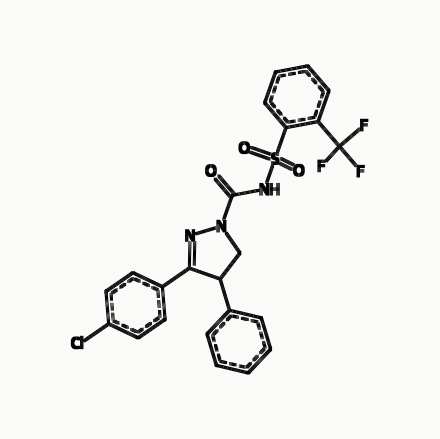 O=C(NS(=O)(=O)c1ccccc1C(F)(F)F)N1CC(c2ccccc2)C(c2ccc(Cl)cc2)=N1